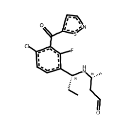 CC[C@@H](N[C@H](C)CC=O)c1ccc(Cl)c(C(=O)c2ccns2)c1F